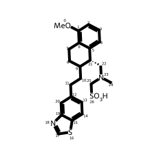 COc1cccc2c1CCC(CCc1ccc3scnc3c1)[C@H]2CN(C)CS(=O)(=O)O